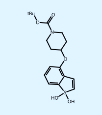 CC(C)(C)OC(=O)N1CCC(Oc2cccc3c2C=CS3(O)O)CC1